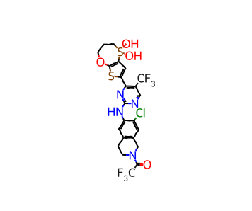 O=C(N1CCc2cc(Nc3ncc(C(F)(F)F)c(-c4cc5c(s4)OCCCS5(O)O)n3)c(Cl)cc2C1)C(F)(F)F